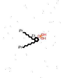 CCc1c(OP(O)O)ccc(CCCCCCCC(C)C)c1CCCCCCCC(C)C